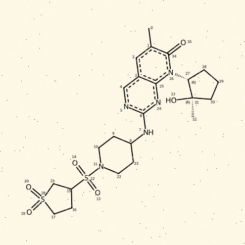 Cc1cc2cnc(NC3CCN(S(=O)(=O)C4CCS(=O)(=O)C4)CC3)nc2n([C@@H]2CCC[C@@]2(C)O)c1=O